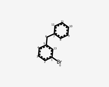 Brc1[c]ccc(Cc2ccccc2)c1